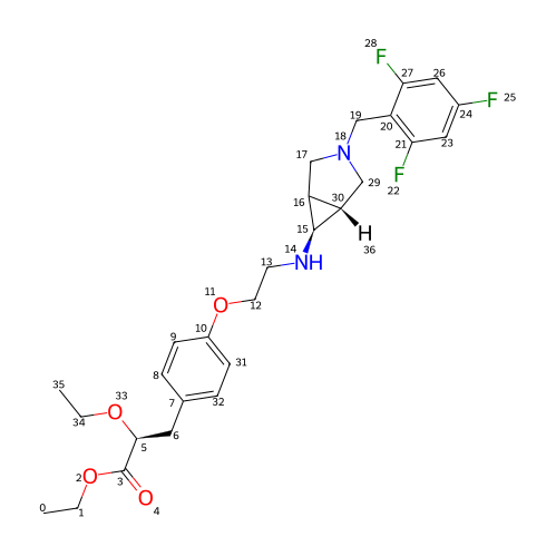 CCOC(=O)[C@H](Cc1ccc(OCCN[C@H]2C3CN(Cc4c(F)cc(F)cc4F)C[C@@H]32)cc1)OCC